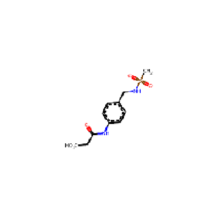 CS(=O)(=O)NCc1ccc(NC(=O)CC(=O)O)cc1